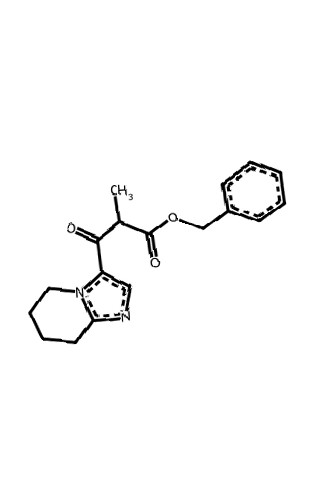 CC(C(=O)OCc1ccccc1)C(=O)c1cnc2n1CCCC2